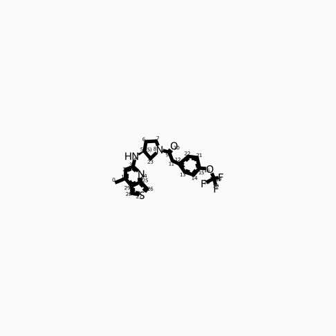 Cc1cc(N[C@H]2CCN(C(=O)Cc3ccc(OC(F)(F)F)cc3)C2)nc2cscc12